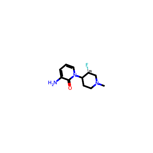 CN1CCC(n2cccc(N)c2=O)[C@H](F)C1